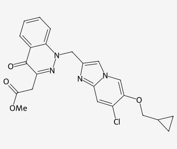 COC(=O)Cc1nn(Cc2cn3cc(OCC4CC4)c(Cl)cc3n2)c2ccccc2c1=O